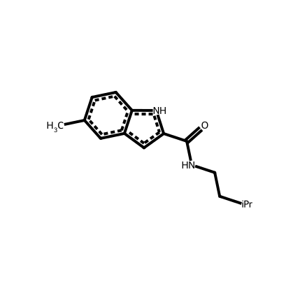 Cc1ccc2[nH]c(C(=O)NCCC(C)C)cc2c1